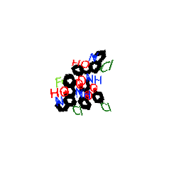 O=C(NC(c1ccccc1)c1cc(Cl)c2cccnc2c1O)C(Oc1ccc(Cl)cc1)C(Oc1ccccc1)C(=O)NC(c1cccc(F)c1)c1cc(Cl)c2cccnc2c1O